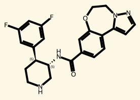 O=C(N[C@@H]1CNCC[C@H]1c1cc(F)cc(F)c1)c1ccc2c(c1)OCCn1nccc1-2